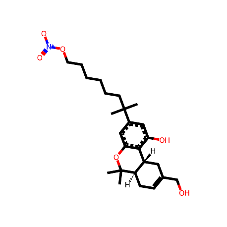 CC(C)(CCCCCCO[N+](=O)[O-])c1cc(O)c2c(c1)OC(C)(C)[C@@H]1CC=C(CO)C[C@@H]21